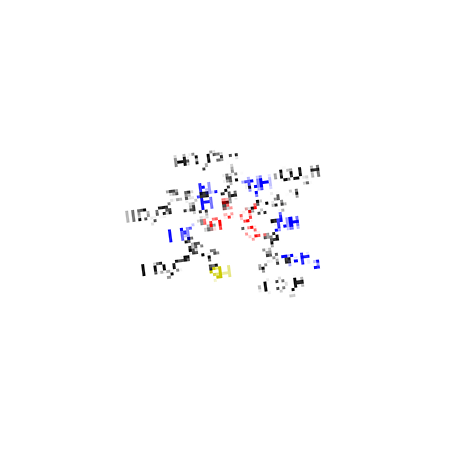 N[C@@H](CC(=O)O)C(=O)N[C@@H](CC(=O)O)C(=O)N[C@@H](CC(=O)O)C(=O)N[C@@H](CC(=O)O)C(=O)N[C@@H](CS)C(=O)O